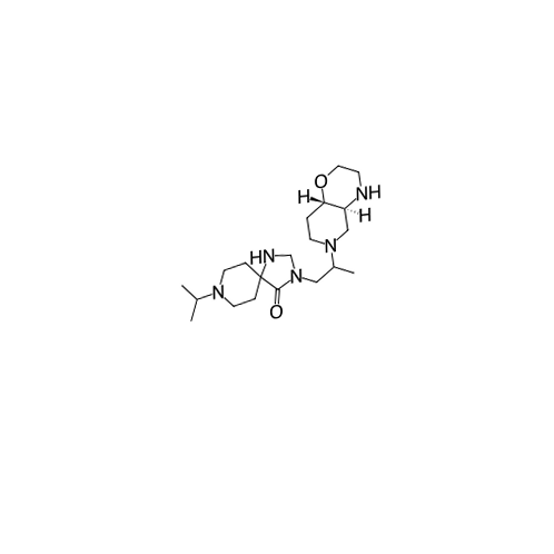 CC(C)N1CCC2(CC1)NCN(CC(C)N1CC[C@@H]3OCCN[C@H]3C1)C2=O